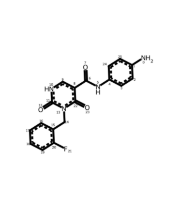 Nc1ccc(NC(=O)c2c[nH]c(=O)n(Cc3ccccc3F)c2=O)cc1